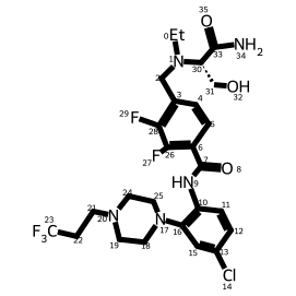 CCN(Cc1ccc(C(=O)Nc2ccc(Cl)cc2N2CCN(CCC(F)(F)F)CC2)c(F)c1F)[C@@H](CO)C(N)=O